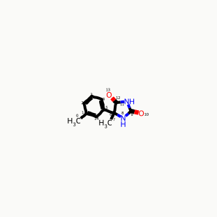 Cc1cccc(C2(C)NC(=O)NC2=O)c1